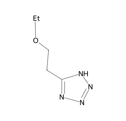 CCOCCc1nnn[nH]1